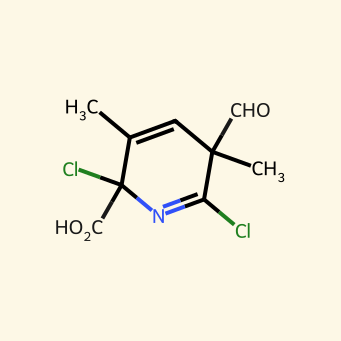 CC1=CC(C)(C=O)C(Cl)=NC1(Cl)C(=O)O